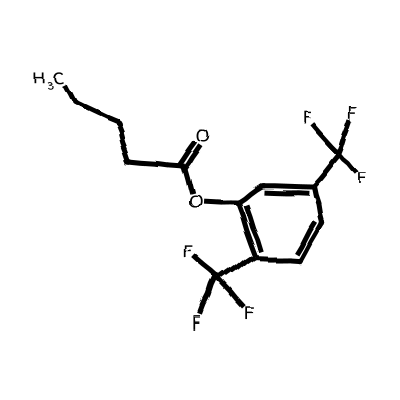 CCCCC(=O)Oc1cc(C(F)(F)F)ccc1C(F)(F)F